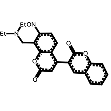 CCN(CC)Cc1c(N=O)ccc2c(-c3cc4ccccc4oc3=O)cc(=O)oc12